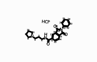 Cl.O=C(NCCCN1CCCC1)c1ccc2c(c1)C(=O)N(c1ccccc1)C2=O